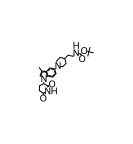 Cc1cn(C2CCC(=O)NC2=O)c2ccc(N3CCC(CCNC(=O)OC(C)(C)C)CC3)cc12